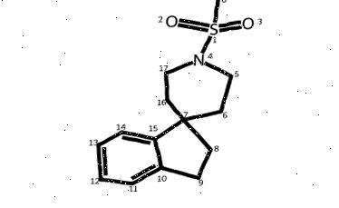 CS(=O)(=O)N1CCC2(CCc3ccccc32)CC1